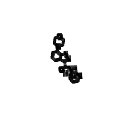 O=C(N[C@H]1CN2CCC1CC2)c1nsc2c(N3CCOCC3)cccc12